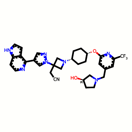 N#CCC1(n2cc(-c3nccc4[nH]ccc34)cn2)CN([C@H]2CC[C@@H](Oc3cc(CN4CC[C@@H](O)C4)cc(C(F)(F)F)n3)CC2)C1